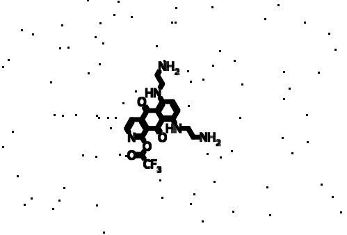 NCCNc1ccc(NCCN)c2c1C(=O)c1ccnc(OC(=O)C(F)(F)F)c1C2=O